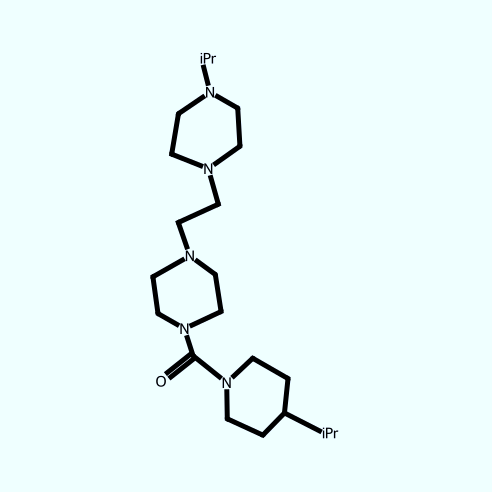 CC(C)C1CCN(C(=O)N2CCN(CCN3CCN(C(C)C)CC3)CC2)CC1